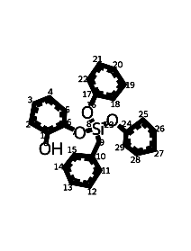 Oc1ccccc1O[Si](Cc1ccccc1)(Oc1ccccc1)Oc1ccccc1